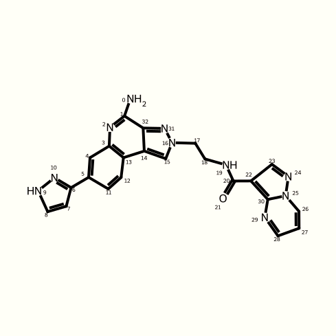 Nc1nc2cc(-c3cc[nH]n3)ccc2c2cn(CCNC(=O)c3cnn4cccnc34)nc12